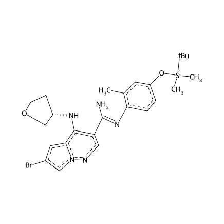 Cc1cc(O[Si](C)(C)C(C)(C)C)ccc1/N=C(\N)c1cnn2cc(Br)cc2c1N[C@H]1CCOC1